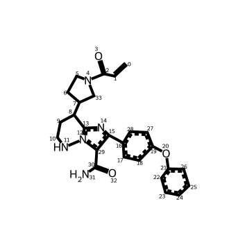 C=CC(=O)N1CCC(C2CCNn3c2nc(-c2ccc(Oc4ccccc4)cc2)c3C(N)=O)C1